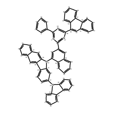 c1ccc(-c2nc(-c3cc(-n4c5cc(-n6c7ccccc7c7ccccc76)ccc5c5cc6ccccc6cc54)c4ccccc4c3)nc(-c3cc4ccccc4c4ccccc34)n2)cc1